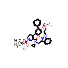 COCCCn1nc(CN(C(=O)C2=C(c3cccc(-c4ccccc4)c3)CCN(C(=O)OC(C)(C)C)C2)C2CC2)c2ccccc21